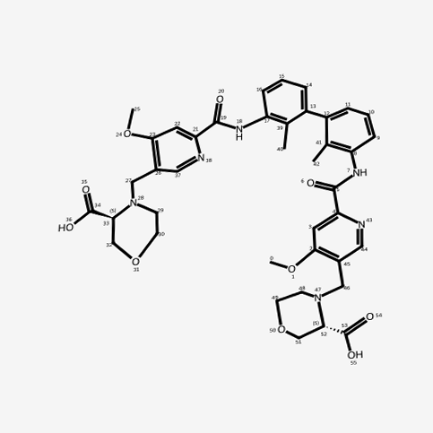 COc1cc(C(=O)Nc2cccc(-c3cccc(NC(=O)c4cc(OC)c(CN5CCOC[C@H]5C(=O)O)cn4)c3C)c2C)ncc1CN1CCOC[C@H]1C(=O)O